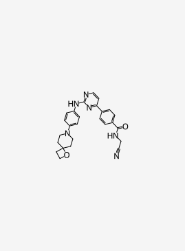 N#CCNC(=O)c1ccc(-c2ccnc(Nc3ccc(N4CCC5(CCO5)CC4)cc3)n2)cc1